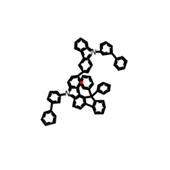 c1ccc(-c2cccc(-n3c4ccccc4c4cc(-c5ccc6c(c5)c5c7c(ccc5n6-c5cccc(-c6ccccc6)c5)-c5ccccc5C7(c5ccccc5)c5ccccc5)ccc43)c2)cc1